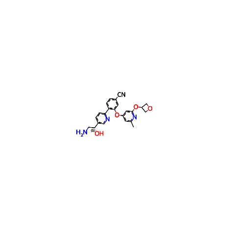 Cc1cc(Oc2cc(C#N)ccc2-c2ccc([C@H](O)CN)cn2)cc(OC2COC2)n1